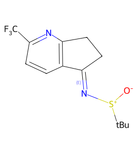 CC(C)(C)[S+]([O-])/N=C1\CCc2nc(C(F)(F)F)ccc21